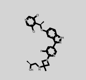 C[C@H](O)CNC1(C)CN(c2ncc(-c3n[nH]c4ccc(O[C@H](C)c5c(Cl)cncc5Cl)cc34)cc2F)C1